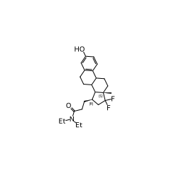 CCN(CC)C(=O)CC[C@@H]1CC(F)(F)[C@@]2(C)CCC3c4ccc(O)cc4CCC3C12